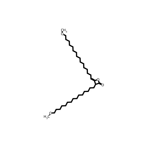 COCCCCCCCCCCCCCCC/C=C1\OC(=O)C1CCCCCCCCCCCCCCCOC